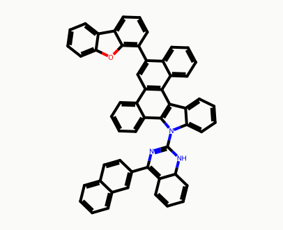 C1=CC2=C(c3ccc4ccccc4c3)N=C(n3c4ccccc4c4c5c6ccccc6c(-c6cccc7c6oc6ccccc67)cc5c5ccccc5c43)NC2C=C1